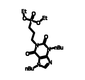 CCCCn1cnc2c1c(=O)n(CCCP(=O)(OCC)OCC)c(=O)n2CCCC